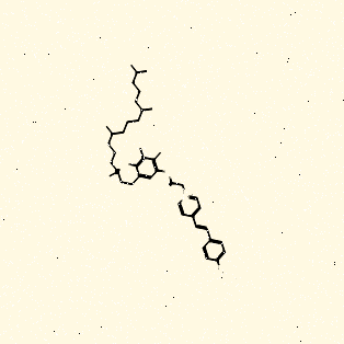 Cc1c(OC(=O)C[n+]2ccc(/C=C/c3ccc(N)cc3)cc2)cc2c(c1C)OC(C)(CCCC(C)CCCC(C)CCCC(C)C)CC2